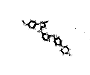 COc1ccc(-n2nc(C)cc2Nc2ccnc(Nc3ccc(N4CCN(C)CC4)cc3)n2)cc1